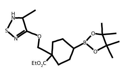 CCOC(=O)C1(COC2=NSNC2C)CCC(B2OC(C)(C)C(C)(C)O2)CC1